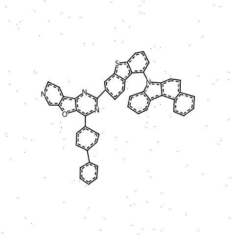 c1ccc(-c2ccc(-c3nc(-c4ccc5c(c4)sc4cccc(-n6c7ccccc7c7c8ccccc8ccc76)c45)nc4c3oc3cnccc34)cc2)cc1